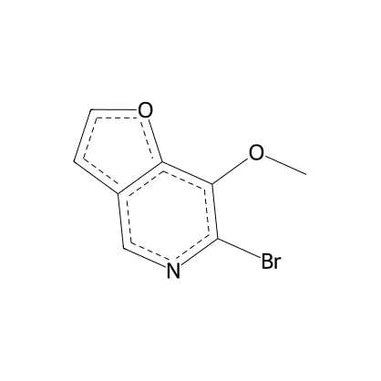 COc1c(Br)ncc2ccoc12